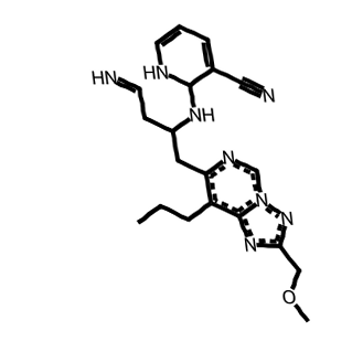 CCCc1c(CC(CC=N)NC2NC=CC=C2C#N)ncn2nc(COC)nc12